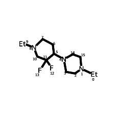 CCN1CCN(C2CCN(CC)CC2(F)F)CC1